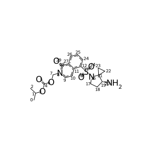 CC(C)OC(=O)OCn1ccc2c(S(=O)(=O)N3CC[C@H](N)C34CC4)cccc2c1=O